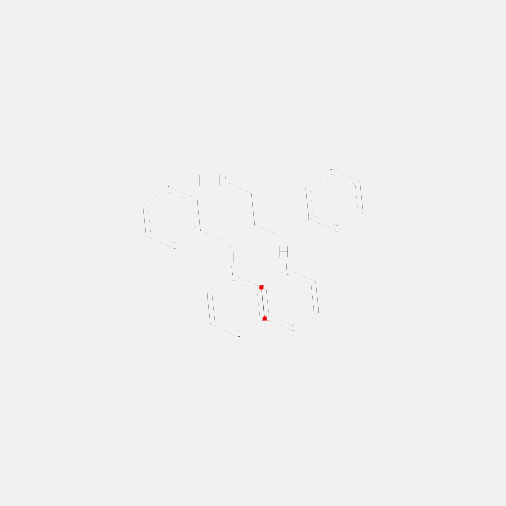 PCC([SiH](c1ccccc1)c1ccccc1)[SiH](c1ccccc1)c1ccccc1